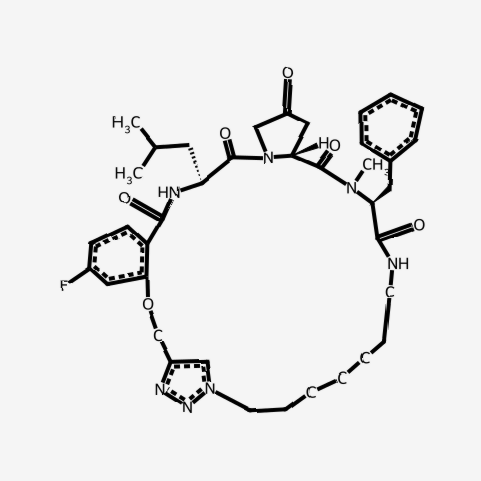 CC(C)C[C@H]1NC(=O)c2ccc(F)cc2OCc2cn(nn2)CCCCCCCNC(=O)[C@H](Cc2ccccc2)N(C)C(=O)[C@H]2CC(=O)CN2C1=O